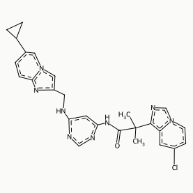 CC(C)(C(=O)Nc1cc(NCc2cn3cc(C4CC4)ccc3n2)ncn1)c1ncn2ccc(Cl)cc12